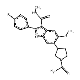 CNC(=O)c1c(-c2ccc(F)cc2)oc2cc(C3CCN(C(C)=O)C3)c(OC)cc12